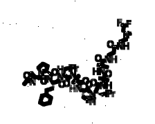 Cc1nc(C(=O)N2CCC[C@H]2C(=O)N[C@@H](CCC2CCCCC2)C(=O)N[C@@H](CC(C)C)C(=O)NC(C)(C)C(=O)N[C@@H](CC(C)C)C(=O)N[C@@H](CC(C)C)C(=O)NC(C)(C)C(=O)NC(C)(C)C(=O)NCCC(=O)NCCN(C)CC(F)F)co1